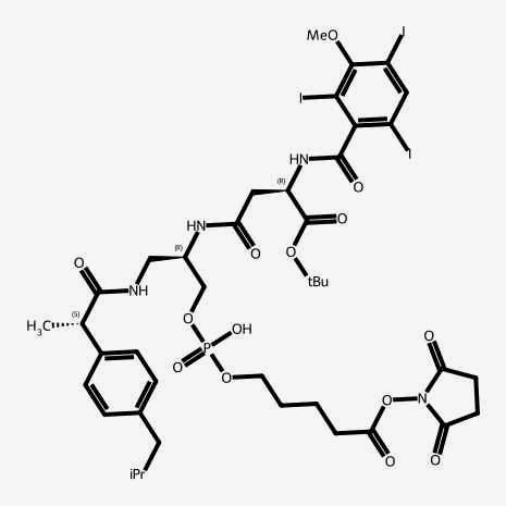 COc1c(I)cc(I)c(C(=O)N[C@H](CC(=O)N[C@H](CNC(=O)[C@@H](C)c2ccc(CC(C)C)cc2)COP(=O)(O)OCCCCC(=O)ON2C(=O)CCC2=O)C(=O)OC(C)(C)C)c1I